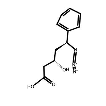 [N-]=[N+]=N[C@@H](C[C@H](O)CC(=O)O)c1ccccc1